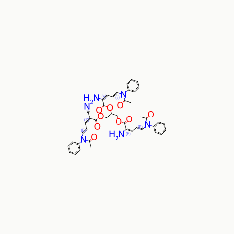 CC(=O)N(/C=C/C=C(/C#N)C(=O)OCC(COC(=O)/C(N)=C\C=C\N(C(C)=O)c1ccccc1)OC(=O)/C(N)=C\C=C\N(C(C)=O)c1ccccc1)c1ccccc1